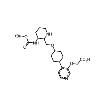 CC(C)(C)OC(=O)NC1CCCNC1COC1CCC(c2ccncc2OCC(=O)O)CC1